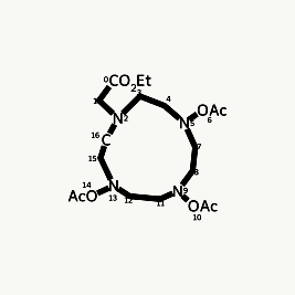 CCOC(=O)CN1CCN(OC(C)=O)CCN(OC(C)=O)CCN(OC(C)=O)CC1